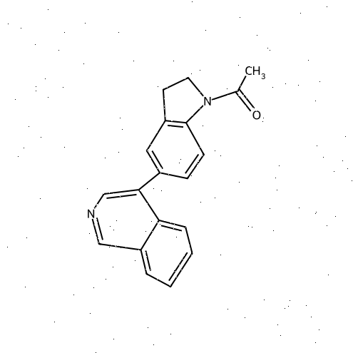 CC(=O)N1CCc2cc(-c3cncc4ccccc34)ccc21